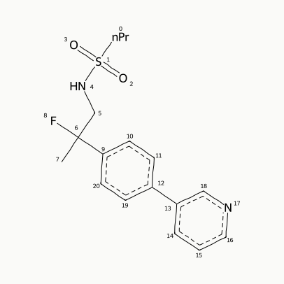 CCCS(=O)(=O)NCC(C)(F)c1ccc(-c2cccnc2)cc1